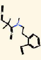 C=C=CC(C)(C)C(=C=C)N(C)CCc1ccccc1C=C